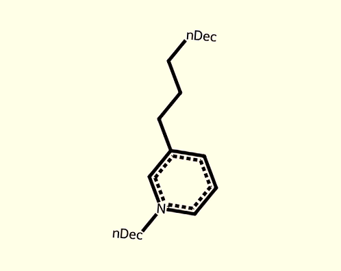 CCCCCCCCCCCCCc1ccc[n+](CCCCCCCCCC)c1